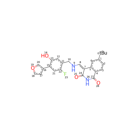 CC(C)(C)c1ccc2c(c1)C(=CNCc1cc(O)c(-c3ccoc3)cc1F)C(=O)NC2=O